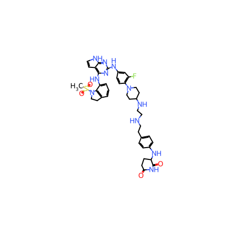 CS(=O)(=O)N1CCc2cccc(Nc3nc(Nc4ccc(N5CCC(NCCNCCc6ccc(NC7CCC(=O)NC7=O)cc6)CC5)c(F)c4)nc4[nH]ccc34)c21